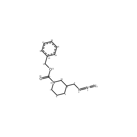 [N-]=[N+]=NCC1CCCN(C(=O)OCc2ccccc2)C1